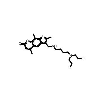 Cc1oc2c(C)c3oc(=O)cc(C)c3cc2c1CNCCCCN(CCCl)CCCl